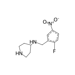 O=[N+]([O-])c1ccc(F)c(CNC2CCNCC2)c1